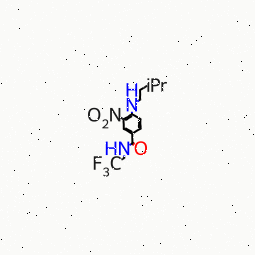 CC(C)CCNc1ccc(C(=O)NCC(F)(F)F)cc1[N+](=O)[O-]